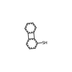 Sc1cccc2c1-c1ccccc1-2